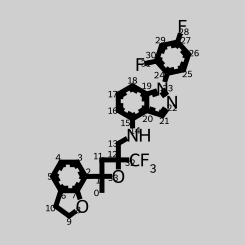 CC1(c2cccc3c2OCC3)CC(CNc2cccc3c2cnn3-c2ccc(F)cc2F)(C(F)(F)F)O1